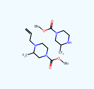 C=CCN1CCN(C(=O)OC(C)(C)C)CC1C(F)(F)F.CC(C)(C)OC(=O)N1CCNC(C(F)(F)F)C1